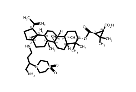 C=C(C)[C@@H]1CC[C@]2(NCCC(CN)N3CCS(=O)(=O)CC3)CC[C@]3(C)[C@H](CC[C@@H]4[C@@]5(C)CC[C@H](OC(=O)[C@H]6[C@@H](C(=O)O)C6(C)C)C(C)(C)[C@@H]5CC[C@]43C)[C@@H]12